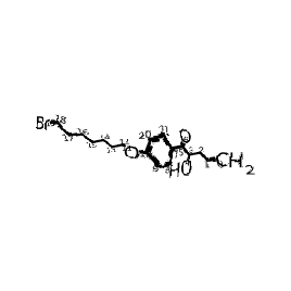 C=CCC(O)C(=O)c1ccc(OCCCCCCCBr)cc1